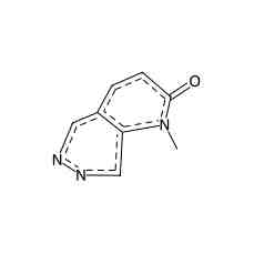 Cn1c(=O)ccc2cnncc21